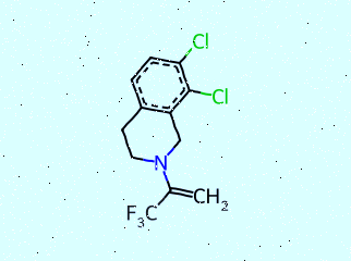 C=C(N1CCc2ccc(Cl)c(Cl)c2C1)C(F)(F)F